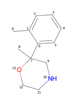 Cc1ccccc1C1(C)CNCCO1